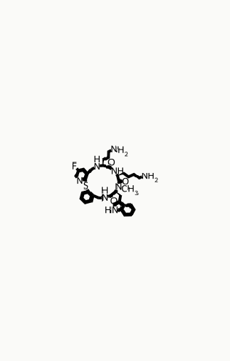 CN1C(=O)[C@H](CCCCN)NC(=O)[C@H](CCCN)NCc2cc(F)cnc2Sc2ccccc2CNC(=O)[C@@H]1Cc1c[nH]c2ccccc12